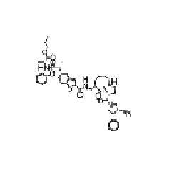 CCCOC(=O)[C@H](C)NP(=O)(Oc1ccccc1)[C@@H](F)c1ccc2sc(C(=O)NCC3CCCC[C@H]4CC[C@@H](C(=O)N5C[C@@H](C#N)[C@H](c6ccccc6)C5)N4C3=O)cc2c1